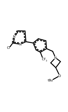 CC(C)(C)OC1CN(Cc2ccc(-c3ccnc(Cl)n3)cc2C(F)(F)F)C1